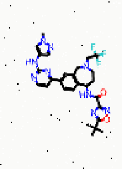 Cn1cc(Nc2nccc(-c3ccc4c(c3)CN(CC(F)(F)F)CC[C@H]4NC(=O)c3noc(C(C)(C)C)n3)n2)cn1